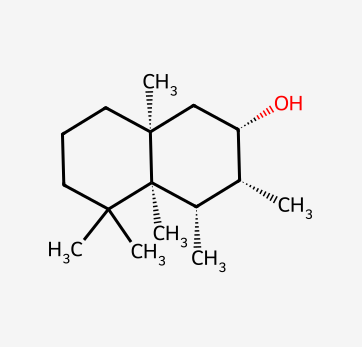 C[C@H]1[C@@H](O)C[C@]2(C)CCCC(C)(C)[C@]2(C)[C@H]1C